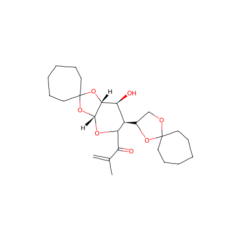 C=C(C)C(=O)C1O[C@@H]2OC3(CCCCCC3)O[C@@H]2[C@@H](O)[C@H]1C1COC2(CCCCCC2)O1